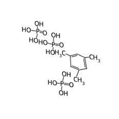 Cc1cc(C)cc(C)c1.O=P(O)(O)O.O=P(O)(O)O.O=P(O)(O)O